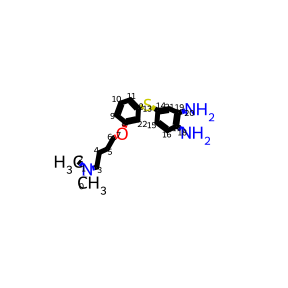 CN(C)CCCCOc1cccc(Sc2ccc(N)c(N)c2)c1